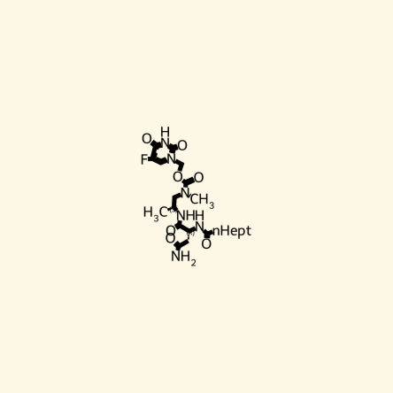 CCCCCCCC(=O)N[C@H](CC(N)=O)C(=O)N[C@@H](C)CN(C)C(=O)OCn1cc(F)c(=O)[nH]c1=O